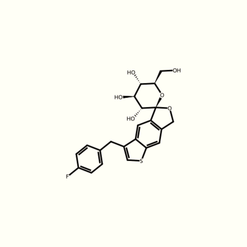 OC[C@H]1O[C@]2(OCc3cc4scc(Cc5ccc(F)cc5)c4cc32)[C@H](O)[C@@H](O)[C@@H]1O